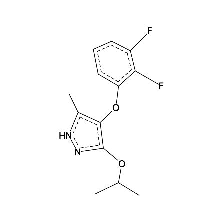 Cc1[nH]nc(OC(C)C)c1Oc1cccc(F)c1F